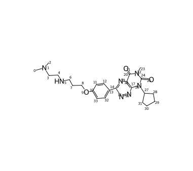 CN(C)CCNCCCOc1ccc(-c2nnc3c(n2)c(=O)n(C)c(=O)n3C2CCCC2)cc1